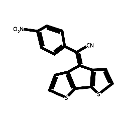 N#CC(=C1c2ccsc2-c2sccc21)c1ccc([N+](=O)[O-])cc1